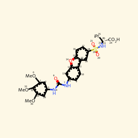 COc1cc(NC(=O)Nc2ccc3c(c2)oc2ccc(S(=O)(=O)N[C@@H](C(=O)O)C(C)C)cc23)cc(OC)c1OC